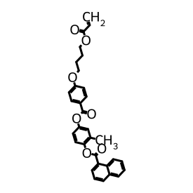 C=CC(=O)OCCCCOc1ccc(C(=O)Oc2ccc(OC(=O)c3cccc4ccccc34)c(C)c2)cc1